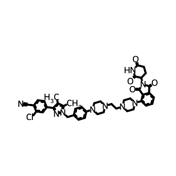 Cc1c(-c2ccc(C#N)c(Cl)c2)nn(Cc2ccc(N3CCN(CCN4CCN(c5cccc6c5C(=O)N(C5CCC(=O)NC5=O)C6=O)CC4)CC3)cc2)c1C